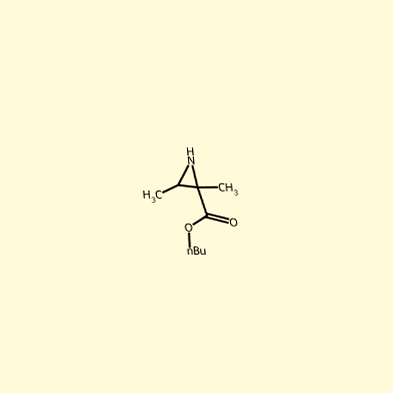 CCCCOC(=O)C1(C)NC1C